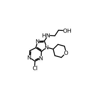 OCCNc1nc2cnc(Cl)nc2n1C1CCOCC1